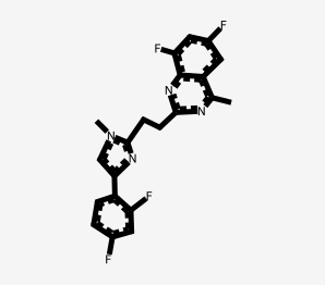 Cc1nc(CCc2nc(-c3ccc(F)cc3F)cn2C)nc2c(F)cc(F)cc12